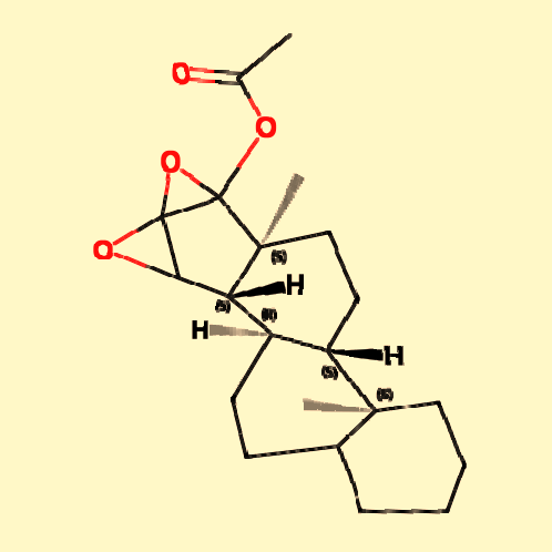 CC(=O)OC12OC13OC3[C@H]1[C@@H]3CCC4CCCC[C@]4(C)[C@H]3CC[C@@]12C